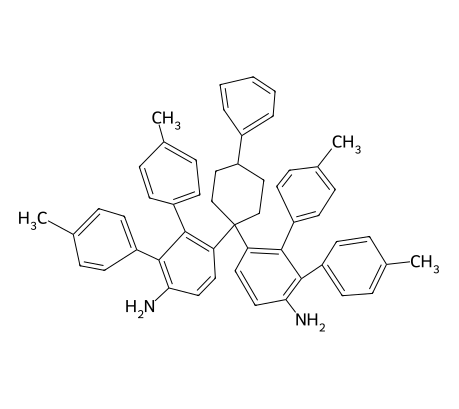 Cc1ccc(-c2c(N)ccc(C3(c4ccc(N)c(-c5ccc(C)cc5)c4-c4ccc(C)cc4)CCC(c4ccccc4)CC3)c2-c2ccc(C)cc2)cc1